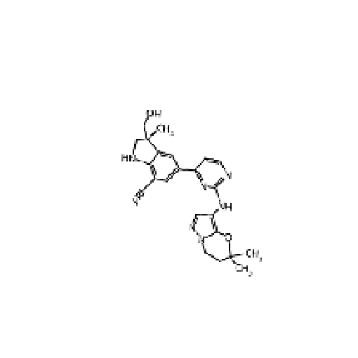 CC1(C)CCn2ncc(Nc3nccc(-c4cc(C#N)c5c(c4)[C@@](C)(CO)CN5)n3)c2O1